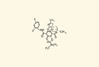 CC1=NO[C@@]2(CC[C@H](C)N3C[C@H]2n2cc(C(=O)NCc4ccc(F)cc4F)c(=O)c(OC(=O)N(C)C)c2C3=O)C1